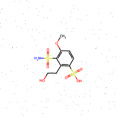 COc1ccc(S(=O)(=O)O)c(CCO)c1S(N)(=O)=O